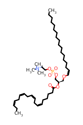 CC/C=C\C/C=C\C/C=C\C/C=C\CCCCC(=O)O[C@H](CO/C=C\CCCCCCCCCCCCCCCC)COP(=O)([O-])OCC[N+](C)(C)C